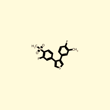 Cc1cc(-c2cscc2-c2ccc(S(C)(=O)=O)c(F)c2)ccc1F